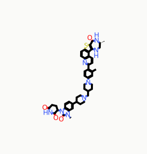 Cc1cc(N2CCC(CN3CCC(c4ccc5c(c4)n(C)c(=O)n5C4CCC(=O)NC4=O)CC3)CC2)ccc1-c1ccc2c(ccc3sc4c(c32)NC[C@@H](C)NC4=O)n1